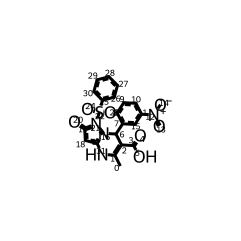 CC1=C(C(=O)O)C(c2cccc([N+](=O)[O-])c2)n2c(cc(=O)n2S(=O)(=O)c2ccccc2)N1